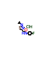 CN1/C(=N/C2CC2)SCC1CC(=O)Nc1ccc(F)cc1.Cl